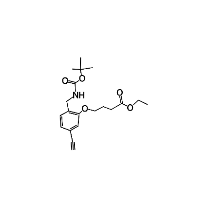 C#Cc1ccc(CNC(=O)OC(C)(C)C)c(OCCCC(=O)OCC)c1